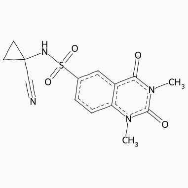 Cn1c(=O)c2cc(S(=O)(=O)NC3(C#N)CC3)ccc2n(C)c1=O